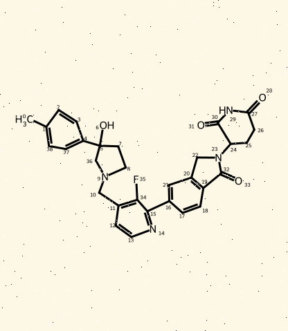 Cc1ccc(C2(O)CCN(Cc3ccnc(-c4ccc5c(c4)CN(C4CCC(=O)NC4=O)C5=O)c3F)C2)cc1